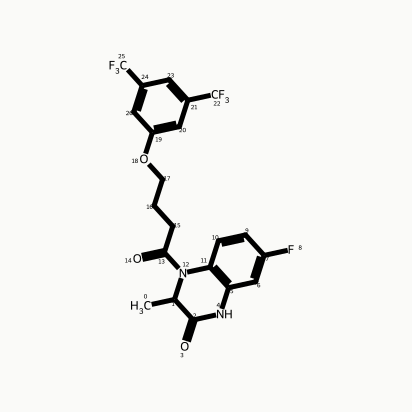 CC1C(=O)Nc2cc(F)ccc2N1C(=O)CCCOc1cc(C(F)(F)F)cc(C(F)(F)F)c1